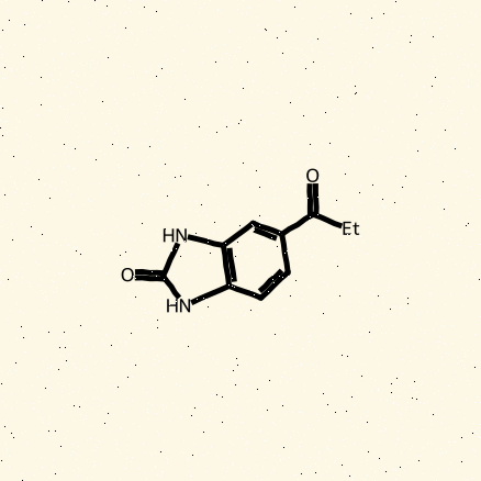 CCC(=O)c1ccc2[nH]c(=O)[nH]c2c1